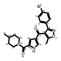 Cc1onc(-c2ccc(Br)cc2)c1C(=O)c1c[nH]c(C(=O)N2CCC(C)CC2)c1